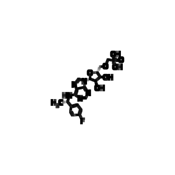 C[C@H](Nc1ncnc2c1ncn2[C@@H]1O[C@H](COCP(=O)(O)O)[C@@H](O)[C@H]1O)c1ccc(F)cc1